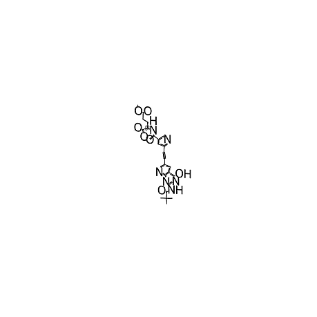 COC(=O)CC[C@@H](NC(=O)c1cncc(C#Cc2cnc3nc(NC(=O)C(C)(C)C)nc(O)c3c2)c1)C(=O)OC